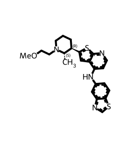 COCCN1CCC[C@@H](c2cc3c(Nc4ccc5scnc5c4)ccnc3s2)[C@@H]1C